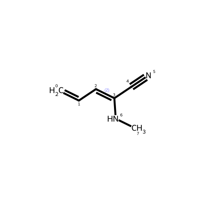 C=C/C=C(/C#N)NC